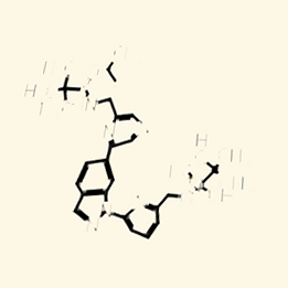 CCC[C@@H](N[S@+]([O-])C(C)(C)C)c1cncc(-c2ccc3cnn(-c4cccc(CO[Si](C)(C)C(C)(C)C)n4)c3c2)n1